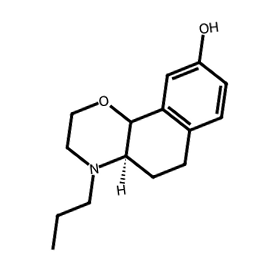 CCCN1CCOC2c3cc(O)ccc3CC[C@H]21